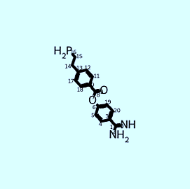 N=C(N)c1ccc(OC(=O)c2ccc(CCP)cc2)cc1